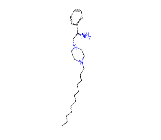 CCCCCCCCCCCCN1CCN(CC(N)c2ccccc2)CC1